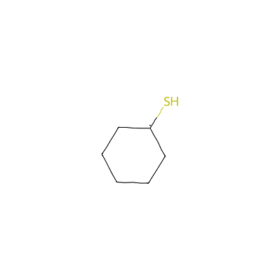 S[C]1CCCCC1